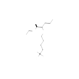 CCCC(SCCCCC(F)(F)F)C(=O)OCC